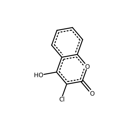 O=c1oc2ccccc2c(O)c1Cl